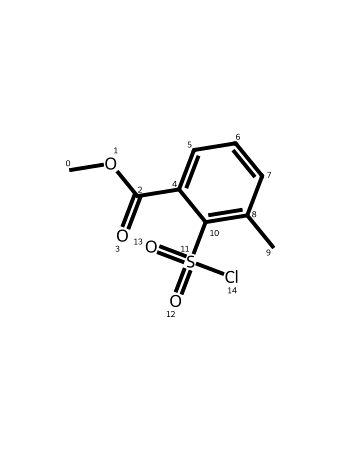 COC(=O)c1cccc(C)c1S(=O)(=O)Cl